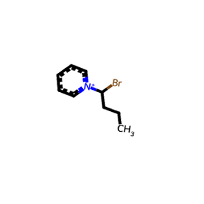 CCCC(Br)[n+]1ccccc1